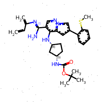 C=CC(=C)/N=C(\N)c1cnn2cc(-c3ccccc3SC)cc2c1N[C@@H]1CC[C@H](NC(=O)OC(C)(C)C)C1